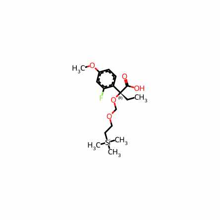 CC[C@](OCOCC[Si](C)(C)C)(C(=O)O)c1ccc(OC)cc1F